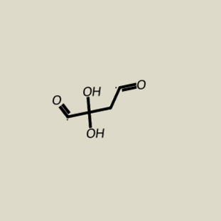 O=[C]CC(O)(O)[C]=O